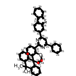 CC1(C)c2ccccc2C2(c3ccccc3Oc3c(-c4nc(-c5ccccc5)cc(-c5ccc6c(c5)sc5ccccc56)n4)cccc32)c2ccccc21